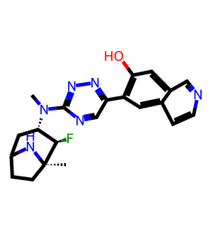 CN(c1ncc(-c2cc3ccncc3cc2O)nn1)[C@H]1CC2CC[C@@](C)(N2)[C@@H]1F